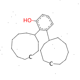 Oc1cccc(C2CCCCCCCCC2)c1C1CCCCCCCCC1